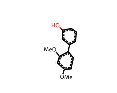 COc1[c]c(OC)c(-c2cccc(O)c2)cc1